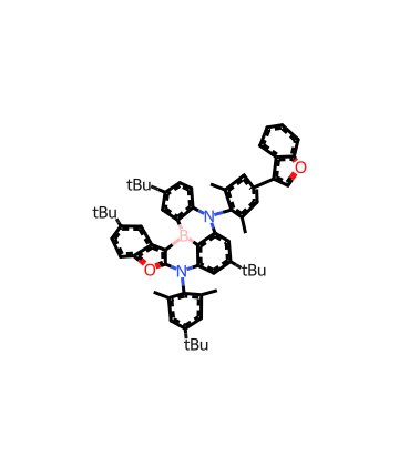 Cc1cc(-c2coc3ccccc23)cc(C)c1N1c2ccc(C(C)(C)C)cc2B2c3c1cc(C(C)(C)C)cc3N(c1c(C)cc(C(C)(C)C)cc1C)c1oc3ccc(C(C)(C)C)cc3c12